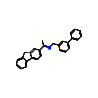 C/C(=N\Cc1cccc(-c2ccccc2)c1)c1ccc2c(c1)Cc1ccccc1-2